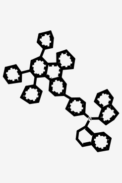 C1=c2ccccc2=C(N(c2ccc(-c3ccc4c(c3)c3ccccc3c3c(-c5ccccc5)cc(-c5ccccc5)c(-c5ccccc5)c43)cc2)c2cccc3ccccc23)CC1